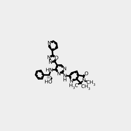 CN1C(=O)c2ccc(Nc3ncc(-c4nnc(-c5cccnc5)o4)c(N[C@H](CO)c4ccccc4)n3)nc2C1(C)C